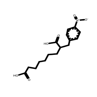 O=C(O)CCCCCCC(Cc1ccc([N+](=O)[O-])cc1)C(=O)O